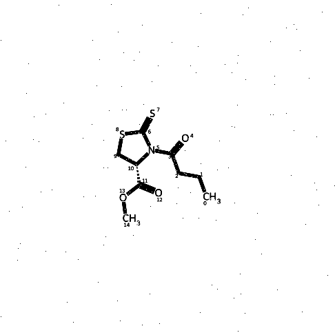 CCCC(=O)N1C(=S)SC[C@H]1C(=O)OC